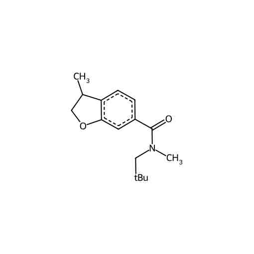 CC1COc2cc(C(=O)N(C)CC(C)(C)C)ccc21